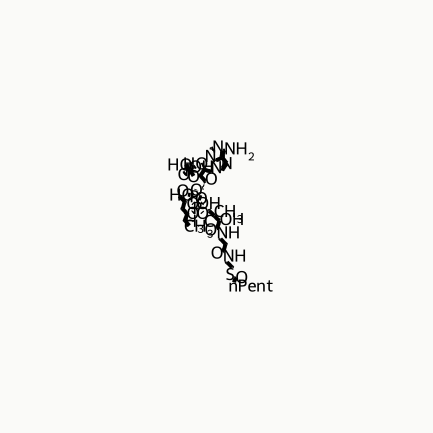 CCCCCC(=O)SCCNC(=O)CCNC(=O)C(O)C(C)(C)COP(=O)(O)OP(=O)(O)OC[C@H]1O[C@@H](n2cnc3c(N)ncnc32)[C@H](O)[C@@H]1OP(=O)(O)O.CCCCCC=O